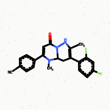 CC1=C(c2ccc(F)cc2F)CC2N(C)C(c3ccc(C#N)cc3)=CC(=O)N2N1